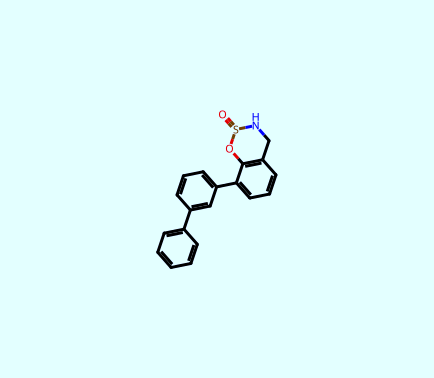 O=S1NCc2cccc(-c3cccc(-c4ccccc4)c3)c2O1